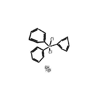 ClP(Cl)(c1ccccc1)(c1ccccc1)c1ccccc1.P.[Pd]